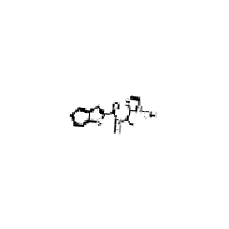 C[C@@H](NC(=O)c1cc2ccccc2s1)C1SC=CN1O